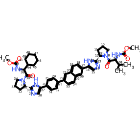 COC(=O)NC(C(=O)N1CCC[C@H]1c1ncc(-c2ccc3cc(-c4ccc(-c5cnc([C@@H]6CCCN6C(=O)C(NC(=O)OC)C6CCCCC6)[nH]5)cc4)ccc3c2)[nH]1)C(C)C